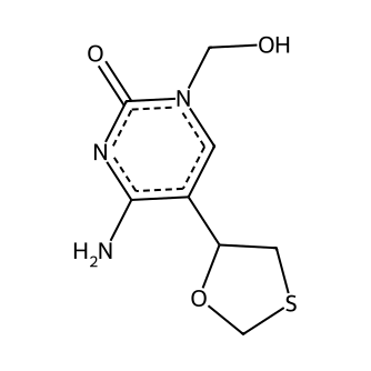 Nc1nc(=O)n(CO)cc1C1CSCO1